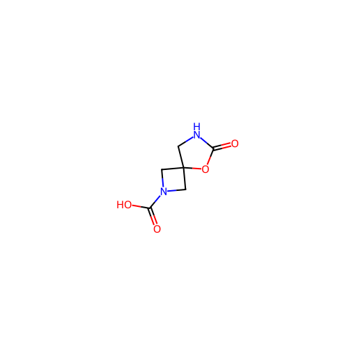 O=C1NCC2(CN(C(=O)O)C2)O1